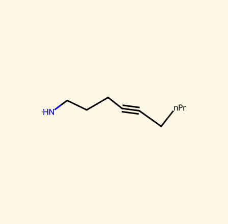 CCCCC#CCCC[NH]